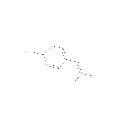 CCOC(=O)/C(=C/c1ccc([N+](=O)[O-])cc1)C(C)=O